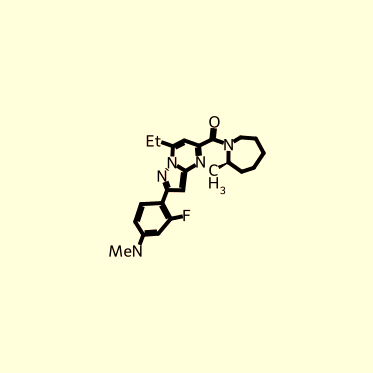 CCc1cc(C(=O)N2CCCCC[C@H]2C)nc2cc(-c3ccc(NC)cc3F)nn12